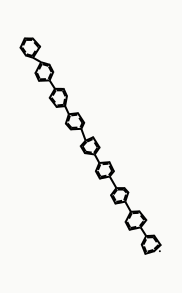 [c]1ccc(-c2ccc(-c3ccc(-c4ccc(-c5ccc(-c6ccc(-c7ccc(-c8ccc(-c9ccccc9)cc8)cc7)cc6)cc5)cc4)cc3)cc2)cc1